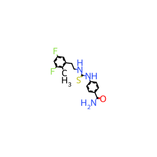 Cc1c(F)cc(F)cc1CCNC(=S)Nc1ccc(C(N)=O)cc1